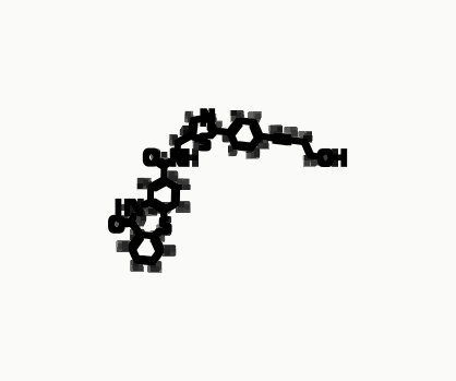 O=C(NCc1cnc(-c2ccc(C#CCCO)cc2)s1)c1ccc2c(c1)NC(=O)c1ccccc1S2